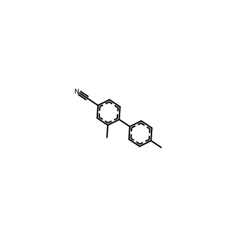 Cc1ccc(-c2ccc(C#N)cc2C)cc1